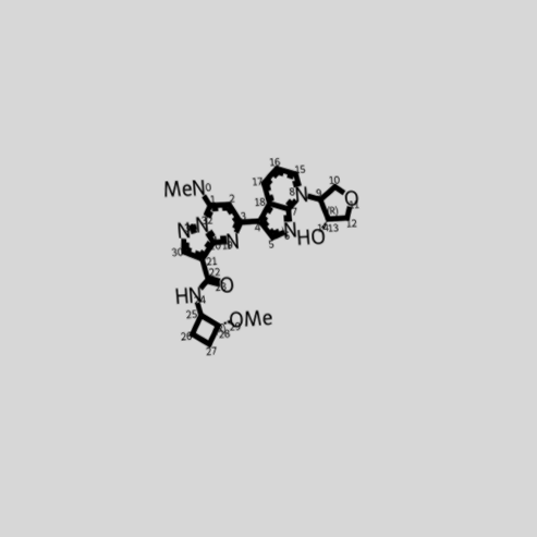 CNc1cc(-c2cnc3n(C4COC[C@@H]4O)cccc2-3)nc2c(C(=O)NC3CC[C@H]3OC)cnn12